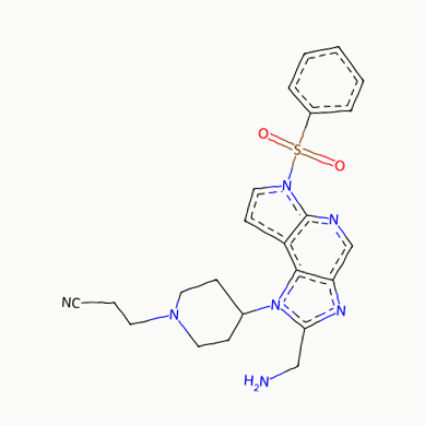 N#CCCN1CCC(n2c(CN)nc3cnc4c(ccn4S(=O)(=O)c4ccccc4)c32)CC1